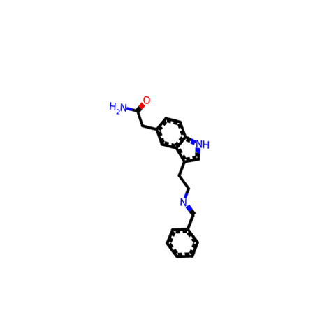 NC(=O)Cc1ccc2[nH]cc(CCN=Cc3ccccc3)c2c1